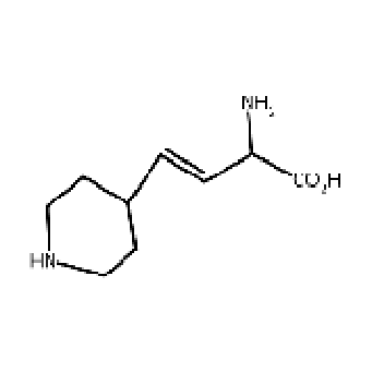 NC(C=CC1CCNCC1)C(=O)O